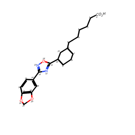 O=C(O)CCCCCC1CCCC(c2nc(-c3ccc4c(c3)OCO4)no2)C1